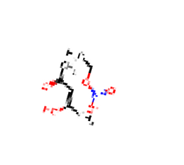 CC(=O)/C=C(/C)O.CCO[N+](=O)[O-]